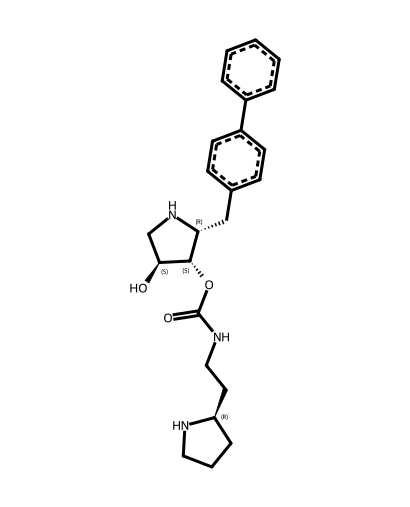 O=C(NCC[C@H]1CCCN1)O[C@@H]1[C@@H](O)CN[C@@H]1Cc1ccc(-c2ccccc2)cc1